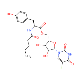 CCCCC(=O)N[C@@H](Cc1ccc(O)cc1)C(=O)OC[C@@H]1O[C@H](n2cc(F)c(=O)[nH]c2=O)C(O)C1O